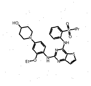 CCOc1cc(N2CCC(O)CC2)ccc1Nc1nc(Nc2ccccc2S(=O)(=O)C(C)C)c2sccc2n1